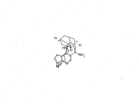 N#CCCO[C@]12CC3C[C@H](C1)[C@@H](Nc1c(C(N)=O)cnc4[nH]ccc14)[C@@H](C3)C2